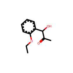 CCOc1ccccc1C(O)C(C)=O